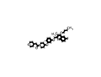 CCCCOc1c(C)c(COc2cccc(OC3CCN(C(=O)CC4CCOCC4)CC3)c2)nc2ccc(F)cc12